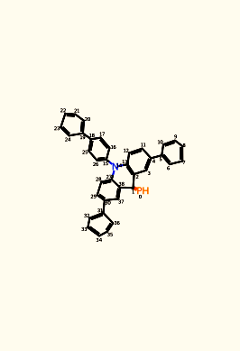 P=c1c2cc(-c3ccccc3)ccc2n(-c2ccc(-c3ccccc3)cc2)c2ccc(-c3ccccc3)cc12